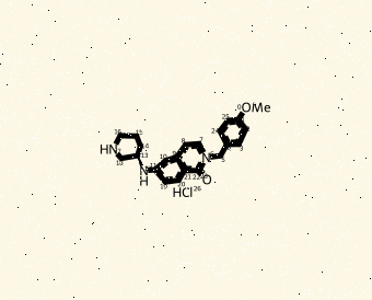 COc1ccc(Cn2ccc3cc(N[C@@H]4CCCNC4)ccc3c2=O)cc1.Cl